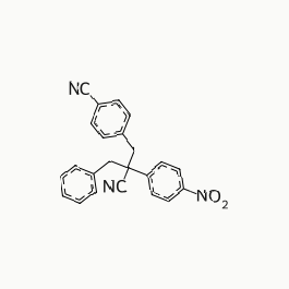 N#Cc1ccc(CC(C#N)(Cc2ccccc2)c2ccc([N+](=O)[O-])cc2)cc1